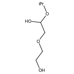 CC(C)OC(O)COCCO